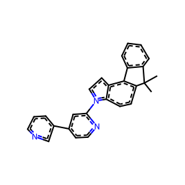 CC1(C)c2ccccc2-c2c1ccc1c2ccn1-c1cc(-c2cccnc2)ccn1